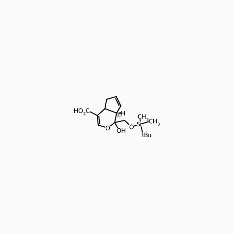 CC(C)(C)[Si](C)(C)OCC1(O)OC=C(C(=O)O)C2CC=C[C@@H]21